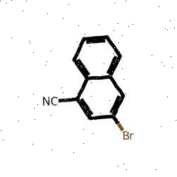 N#Cc1cc(Br)cc2ccccc12